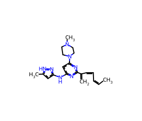 C=C(/C=C\C=C/C)c1nc(Nc2cc(C)[nH]n2)cc(N2CCN(C)CC2)n1